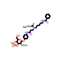 CCCCC(=O)N(CCCCCNC(=O)c1ccccc1)CCC(=O)Nc1ccc(OC2OC(CO)C(OS(=O)(=O)[O-])C(O)C2NC(C)=O)cc1.[Na+]